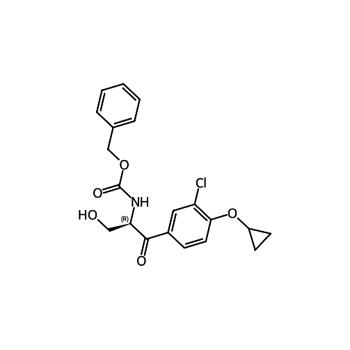 O=C(N[C@H](CO)C(=O)c1ccc(OC2CC2)c(Cl)c1)OCc1ccccc1